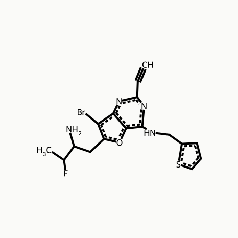 C#Cc1nc(NCc2cccs2)c2oc(CC(N)C(C)F)c(Br)c2n1